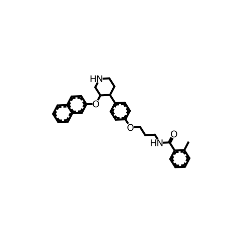 Cc1ccccc1C(=O)NCCCOc1ccc(C2CCNCC2Oc2ccc3ccccc3c2)cc1